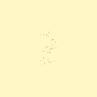 CNC(=O)c1ccccc1NCc1nc(Nc2ccc3c(c2)CN(C)C(=O)CC3)ncc1F